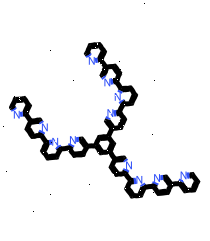 c1ccc(-c2ccc(-c3cccc(-c4ccc(-c5cc(-c6ccc(-c7cccc(-c8ccc(-c9ccccn9)cn8)n7)nc6)cc(-c6ccc(-c7cccc(-c8ccc(-c9ccccn9)cn8)n7)nc6)c5)cn4)n3)nc2)nc1